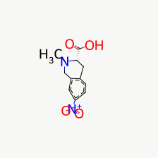 CN1Cc2cc([N+](=O)[O-])ccc2C[C@H]1C(=O)O